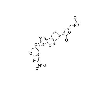 CC(=O)NCC1CN(c2ccc(-c3cnc(OC4COc5nc([N+](=O)[O-])cn5C4)[nH]c3=O)c(F)c2)C(=O)O1